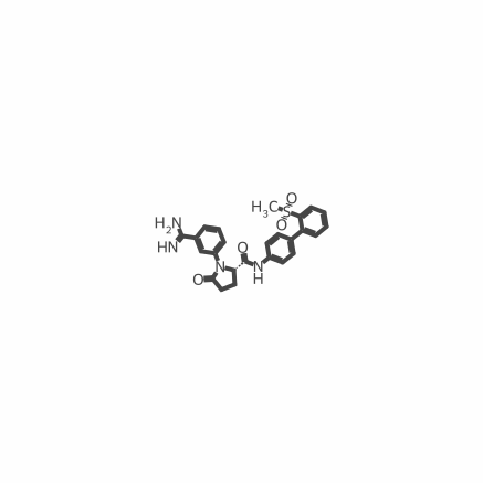 CS(=O)(=O)c1ccccc1-c1ccc(NC(=O)[C@@H]2CCC(=O)N2c2cccc(C(=N)N)c2)cc1